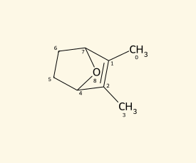 CC1=C(C)C2CCC1O2